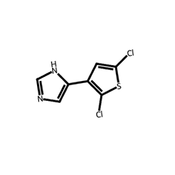 Clc1cc(-c2cnc[nH]2)c(Cl)s1